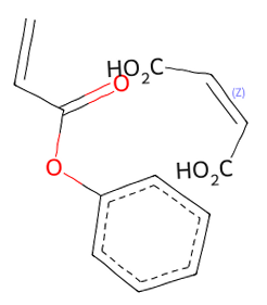 C=CC(=O)Oc1ccccc1.O=C(O)/C=C\C(=O)O